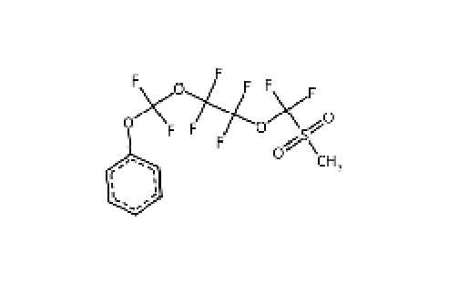 CS(=O)(=O)C(F)(F)OC(F)(F)C(F)(F)OC(F)(F)Oc1ccccc1